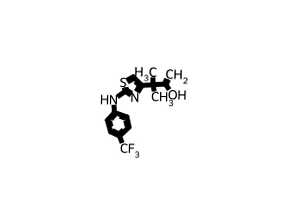 C=C(O)C(C)(C)c1csc(Nc2ccc(C(F)(F)F)cc2)n1